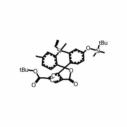 C=C[Si]1(C)c2cc(C)ccc2C2(OC(=O)c3ccc(C(=O)OC(C)(C)C)cc32)c2ccc(O[Si](C)(C)C(C)(C)C)cc21